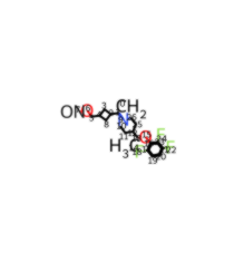 C=C(C1CC(CON=O)C1)N1CCC(C(C)Oc2c(F)ccc(F)c2F)CC1